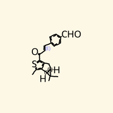 Cc1sc(C(=O)/C=C/c2ccc(C=O)cc2)c2c1[C@H]1[C@@H](C2)C1(C)C